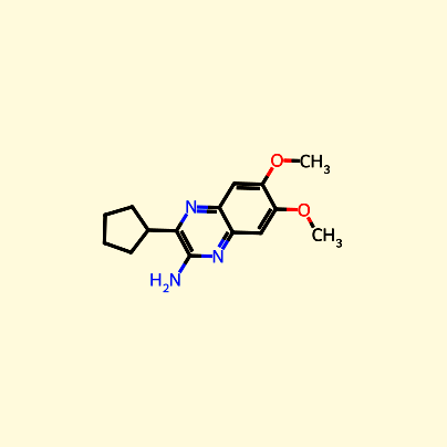 COc1cc2nc(N)c(C3CCCC3)nc2cc1OC